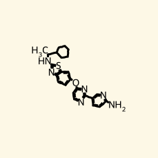 CC(Nc1nc2ccc(Oc3ccnc(-c4ccc(N)nc4)n3)cc2s1)C1CCCCC1